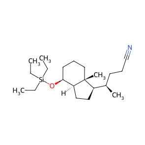 CC[Si](CC)(CC)O[C@H]1CCC[C@]2(C)[C@@H]([C@H](C)CCC#N)CC[C@@H]12